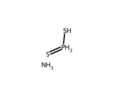 N.S=[PH2]S